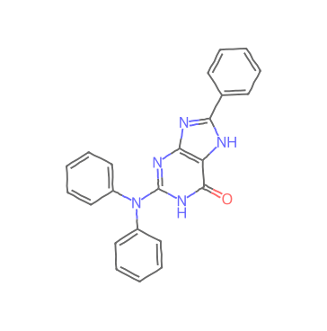 O=c1[nH]c(N(c2ccccc2)c2ccccc2)nc2nc(-c3ccccc3)[nH]c12